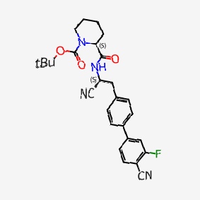 CC(C)(C)OC(=O)N1CCCC[C@H]1C(=O)N[C@H](C#N)Cc1ccc(-c2ccc(C#N)c(F)c2)cc1